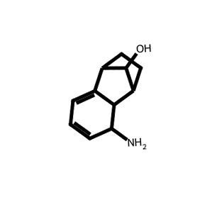 NC1C=CC=C2C3CCC(C3O)C21